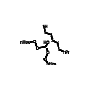 CCCCCCOOP(O)OOCCCCCC.CCCSSSSSS